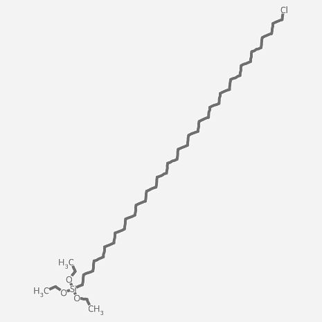 CCO[Si](CCCCCCCCCCCCCCCCCCCCCCCCCCCCCCCCCCCCCCCCl)(OCC)OCC